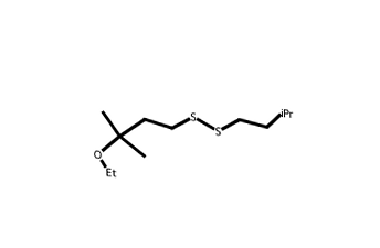 CCOC(C)(C)CCSSCCC(C)C